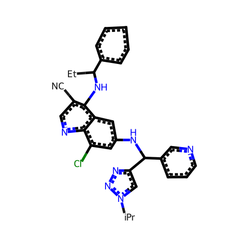 CCC(Nc1c(C#N)cnc2c(Cl)cc(NC(c3cccnc3)c3cn(C(C)C)nn3)cc12)c1ccccc1